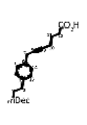 CCCCCCCCCCCCc1ccc(CC#CCCCC(=O)O)cc1